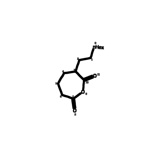 CCCCCCCCC1CCCC(=O)OC1=O